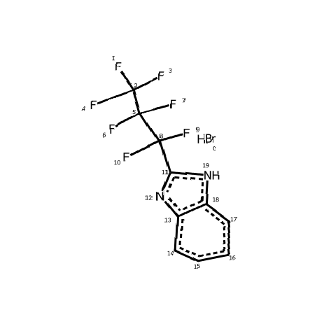 Br.FC(F)(F)C(F)(F)C(F)(F)c1nc2ccccc2[nH]1